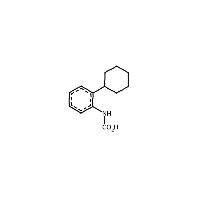 O=C(O)Nc1ccccc1C1CCCCC1